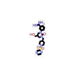 N=C(N)c1cccc(N2CC(CO)CN(CC3CCN(S(=O)(=O)c4cnccn4)CC3)C2=O)c1